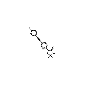 CN1C(=O)C(c2ncc(C#Cc3ccc(F)cc3)cn2)CC1(C)C